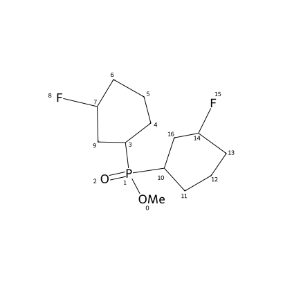 COP(=O)(C1CCCC(F)C1)C1CCCC(F)C1